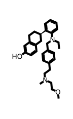 CCN(Cc1ccc(CCN(C)CCOC)cc1)c1ccccc1[C@@H]1CCc2cc(O)ccc2C1